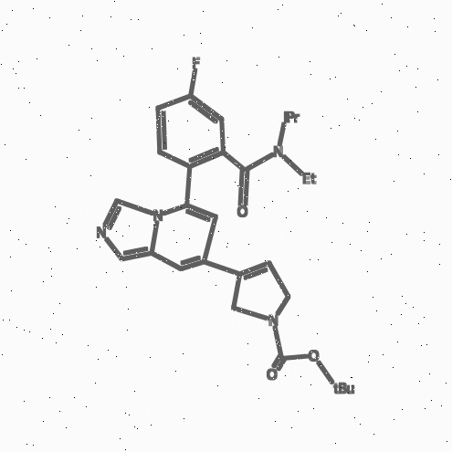 CCN(C(=O)c1cc(F)ccc1-c1cc(C2=CCN(C(=O)OC(C)(C)C)C2)cc2cncn12)C(C)C